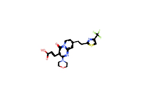 O=C(O)C=Cc1c(N2CCOCC2)nc2cc(CCc3nc(C(F)(F)F)cs3)ccn2c1=O